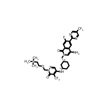 C[Si](C)(C)CCOCn1ncc(N[C@H]2CCC[C@@H](Cn3cc(N)c4cc(-c5ncc(C(F)(F)F)cn5)c(F)cc4c3=O)C2)c(C(F)(F)F)c1=O